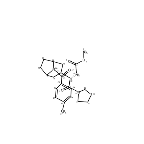 CC(C)(C)OC(=O)N[C@H](C(=O)N1CCSC1)C1CC2CCC(C1)N2C(=O)c1ccc(C(F)(F)F)cc1